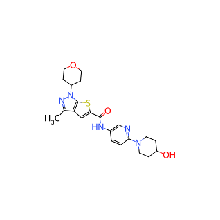 Cc1nn(C2CCOCC2)c2sc(C(=O)Nc3ccc(N4CCC(O)CC4)nc3)cc12